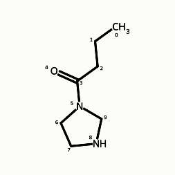 CCCC(=O)N1CCNC1